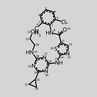 Cc1cccc(Cl)c1NC(=O)c1cnc(Nc2nc(NCCO)nc(C3CC3)n2)s1